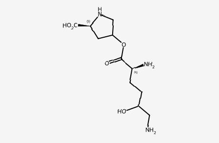 NCC(O)CC[C@H](N)C(=O)OC1CN[C@H](C(=O)O)C1